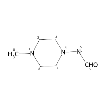 CN1CCN([N]C=O)CC1